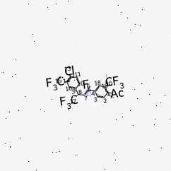 CC(=O)c1ccc(/C(F)=C/C(c2ccc(Cl)c(C(F)(F)F)c2)C(F)(F)F)cc1C(F)(F)F